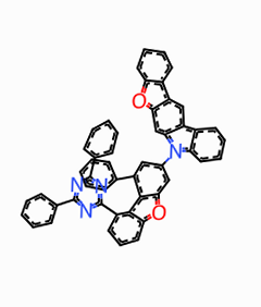 c1ccc(-c2nc(-c3ccccc3)nc(-c3cccc4oc5cc(-n6c7ccccc7c7cc8c(cc76)oc6ccccc68)cc(-c6ccccc6)c5c34)n2)cc1